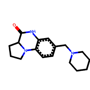 O=C1Nc2cc(CN3CCCCC3)ccc2N2CCCC12